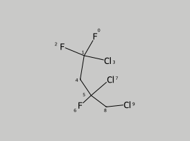 FC(F)(Cl)CC(F)(Cl)CCl